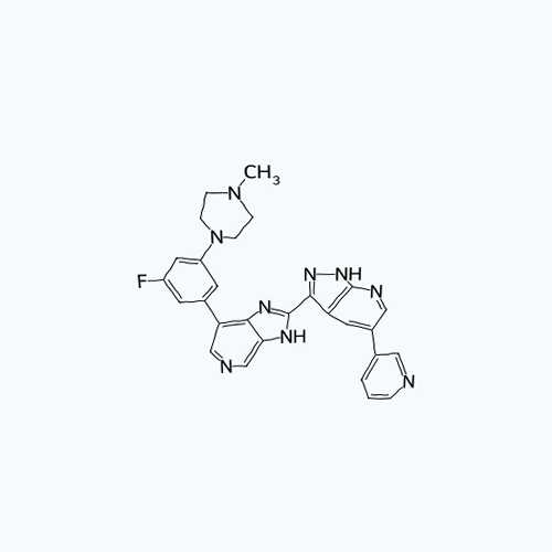 CN1CCN(c2cc(F)cc(-c3cncc4[nH]c(-c5n[nH]c6ncc(-c7cccnc7)cc56)nc34)c2)CC1